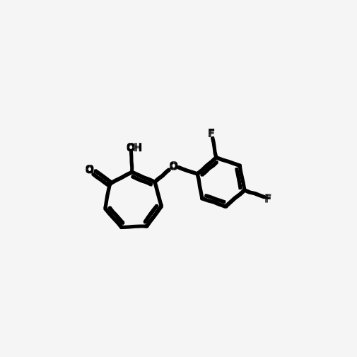 O=c1ccccc(Oc2ccc(F)cc2F)c1O